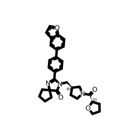 O=C([C@@H]1CCCO1)N1CC[C@@H](CN2C(=O)C3(CCCC3)N=C2c2ccc(-c3ccc4occc4c3)cc2)C1